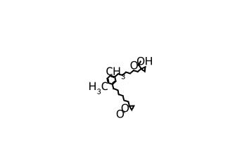 Cc1cc(C)c(CCCCCCC2(C(=O)O)CC2)cc1CCCCCCC1(OC=O)CC1